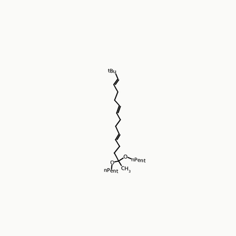 CCCCCOC(C)(CCC=CCCC=CCCC=CC(C)(C)C)OCCCCC